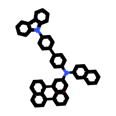 c1ccc(-c2cccc3cccc(-c4cccc(N(c5ccc(-c6ccc(-n7c8ccccc8c8ccccc87)cc6)cc5)c5ccc6ccccc6c5)c4)c23)cc1